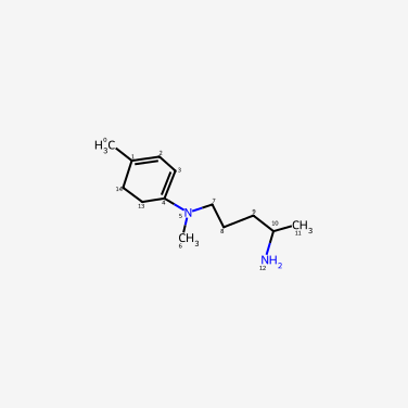 CC1=CC=C(N(C)CCCC(C)N)CC1